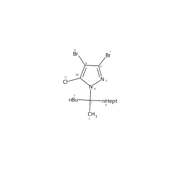 CCCCCCCC(C)(CCCC)n1nc(Br)c(Br)c1Cl